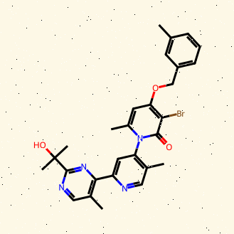 Cc1cccc(COc2cc(C)n(-c3cc(-c4nc(C(C)(C)O)ncc4C)ncc3C)c(=O)c2Br)c1